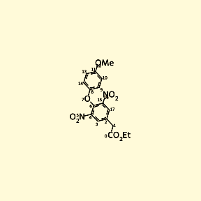 CCOC(=O)Cc1cc([N+](=O)[O-])c(Oc2ccc(OC)cc2)c([N+](=O)[O-])c1